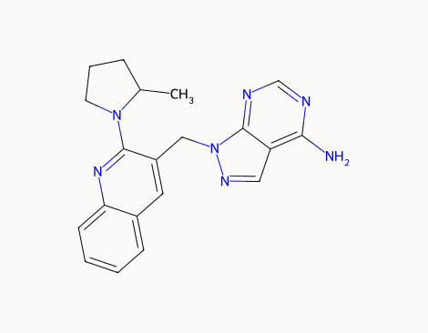 CC1CCCN1c1nc2ccccc2cc1Cn1ncc2c(N)ncnc21